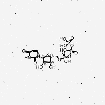 O=c1ccn([C@@H]2S[C@H](COP(=O)(O)OP(=O)(O)OP(=O)(O)O)[C@@H](O)[C@H]2O)c(=O)[nH]1